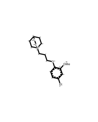 CCc1ccc(OCCC[N+]23CCC(CC2)CC3)c(OC)c1